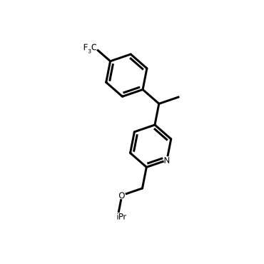 CC(C)OCc1ccc(C(C)c2ccc(C(F)(F)F)cc2)cn1